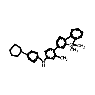 Cc1cc(Nc2ccc(C3CCCCC3)cc2)ccc1-c1ccc2c(c1)[Si](C)(C)c1ccccc1-2